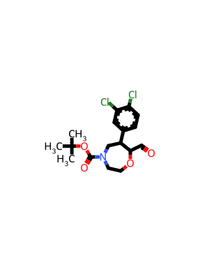 CC(C)(C)OC(=O)N1CCOC(C=O)C(c2ccc(Cl)c(Cl)c2)C1